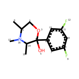 CC1COC(O)(c2cc(F)cc(F)c2)C(C)N1C